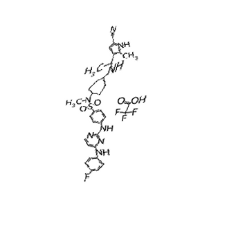 Cc1[nH]c(C#N)cc1C(C)NC1CCC(N(C)S(=O)(=O)c2ccc(Nc3nccc(Nc4ccc(F)cc4)n3)cc2)CC1.O=C(O)C(F)(F)F